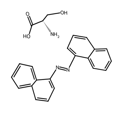 N[C@@H](CO)C(=O)O.c1ccc2c(N=Nc3cccc4ccccc34)cccc2c1